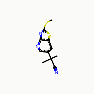 CSc1nc2ncc(C(C)(C)C#N)cc2s1